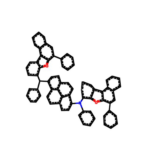 c1ccc(-c2cc3ccccc3c3c2oc2c(C(c4ccccc4)c4ccc5ccc6c(N(c7ccccc7)c7cccc8c7oc7c(-c9ccccc9)cc9ccccc9c78)ccc7ccc4c5c76)cccc23)cc1